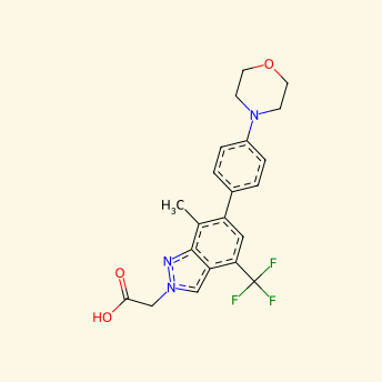 Cc1c(-c2ccc(N3CCOCC3)cc2)cc(C(F)(F)F)c2cn(CC(=O)O)nc12